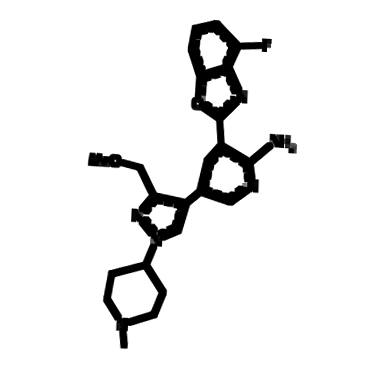 COCc1nn(C2CCN(C)CC2)cc1-c1cnc(N)c(-c2nc3c(F)cccc3o2)c1